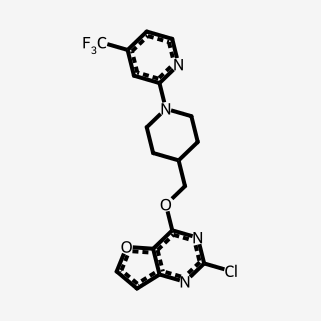 FC(F)(F)c1ccnc(N2CCC(COc3nc(Cl)nc4ccoc34)CC2)c1